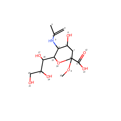 C=C(C)NC1C(O)CC(OC)(C(=O)O)OC1C(O)C(O)CO